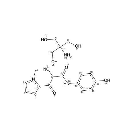 Cn1cccc1C(=O)C(C#N)C(=O)Nc1ccc(O)cc1.NC(CO)(CO)CO